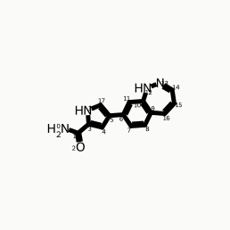 NC(=O)c1cc(-c2ccc3c(c2)NN=CC=C3)c[nH]1